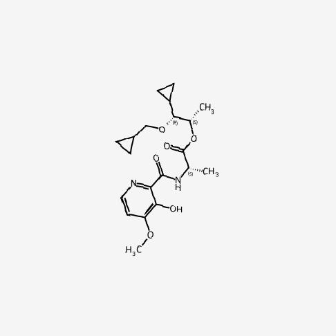 COc1ccnc(C(=O)N[C@@H](C)C(=O)O[C@@H](C)[C@H](OCC2CC2)C2CC2)c1O